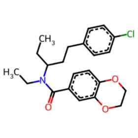 CCC(CCc1ccc(Cl)cc1)N(CC)C(=O)c1ccc2c(c1)OCCO2